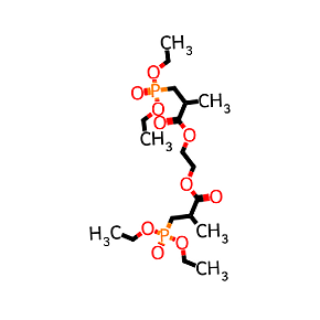 CCOP(=O)(CC(C)C(=O)OCCOC(=O)C(C)CP(=O)(OCC)OCC)OCC